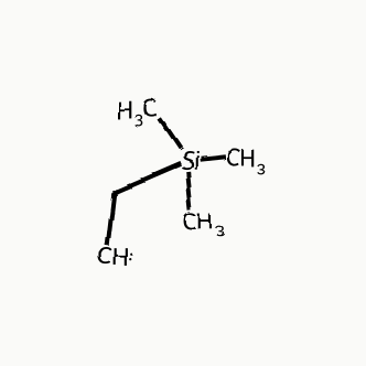 [CH]C[Si](C)(C)C